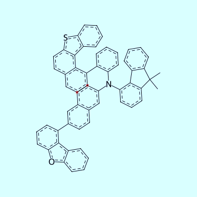 CC1(C)c2ccccc2-c2c(N(c3ccc4cc(-c5cccc6oc7ccccc7c56)ccc4c3)c3ccccc3-c3cccc4ccc5sc6ccccc6c5c34)cccc21